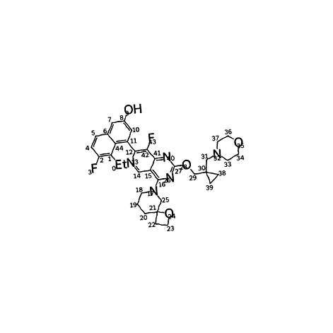 CCc1c(F)ccc2cc(O)cc(-c3ncc4c(N5CCCC6(CCO6)C5)nc(OCC5(CN6CCOCC6)CC5)nc4c3F)c12